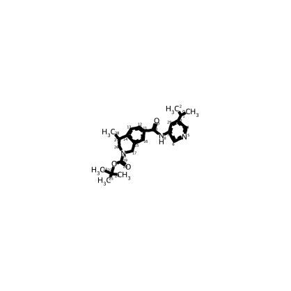 CC(C)c1cncc(NC(=O)c2ccc3c(c2)CN(C(=O)OC(C)(C)C)CC3C)c1